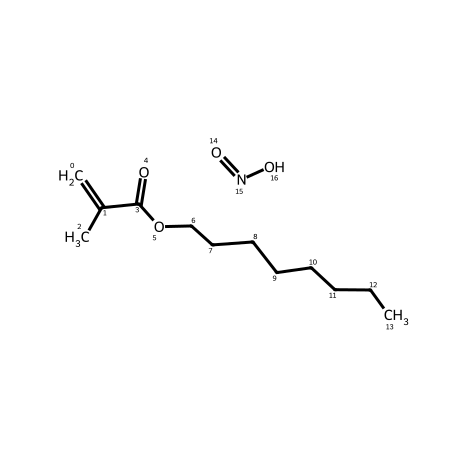 C=C(C)C(=O)OCCCCCCCC.O=NO